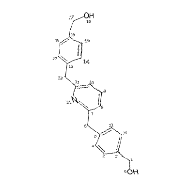 OCc1ccc(Cc2cccc(Cc3ccc(CO)cc3)n2)cc1